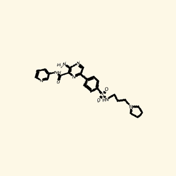 Nc1ncc(-c2ccc(S(=O)(=O)NCCCN3CCCC3)cc2)nc1C(=O)Nc1cccnc1